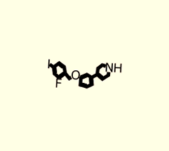 Fc1cc(I)ccc1COc1cccc(C2=CCNCC2)c1